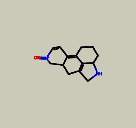 O=[N+]1C=CC2=C3CCCC4NCC(=C34)CC2C1